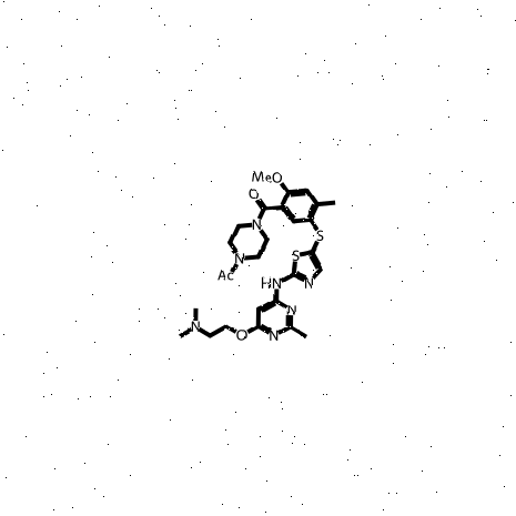 COc1cc(C)c(Sc2cnc(Nc3cc(OCCN(C)C)nc(C)n3)s2)cc1C(=O)N1CCN(C(C)=O)CC1